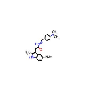 COc1ccc2[nH]c(C)c(CC(=O)NN=Cc3ccc(N(C)C)cc3)c2c1